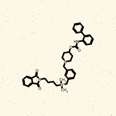 C[N+](C)(CCCCN1C(=O)c2ccccc2C1=O)Cc1cccc(CN2CCC(OC(=O)Nc3ccccc3-c3ccccc3)CC2)c1